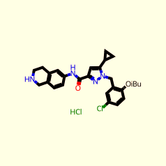 CC(C)COc1ccc(Cl)cc1Cn1nc(C(=O)Nc2ccc3c(c2)CCNC3)cc1C1CC1.Cl